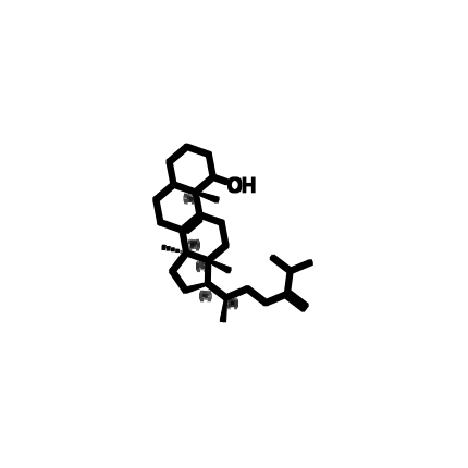 C=C(CC[C@@H](C)[C@H]1CC[C@@]2(C)C3=C(CC[C@]12C)[C@@]1(C)C(O)CCCC1CC3)C(C)C